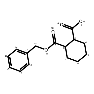 O=C(O)C1CCCCC1C(=O)OCc1ccccc1